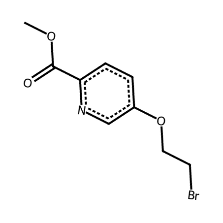 COC(=O)c1ccc(OCCBr)cn1